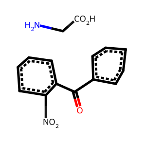 NCC(=O)O.O=C(c1ccccc1)c1ccccc1[N+](=O)[O-]